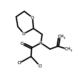 C=C(C)CN(CC1OCCCO1)C(=O)C(Cl)Cl